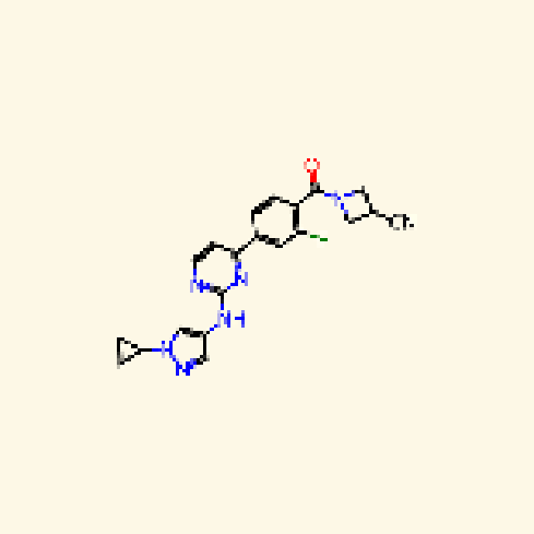 N#CC1CN(C(=O)c2ccc(-c3ccnc(Nc4cnn(C5CC5)c4)n3)cc2F)C1